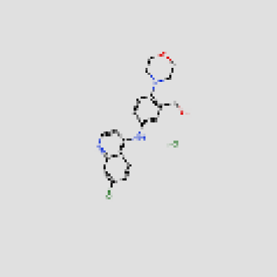 Cl.OCc1cc(Nc2ccnc3cc(Cl)ccc23)ccc1N1CCOCC1